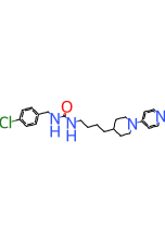 O=C(NCCCCC1CCN(c2ccncc2)CC1)NCc1ccc(Cl)cc1